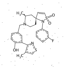 Cc1csnc1-c1cc(CN2CC[C@]3(C=CS(=O)(=O)N3c3cccc(F)c3)C[C@@H]2C)ccc1O